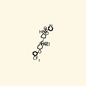 Cl.Cl.O=S(=O)(N[C@H]1CC[C@H](CCN2CCC(Oc3cccc(C(F)(F)F)c3)CC2)CC1)c1cccnc1